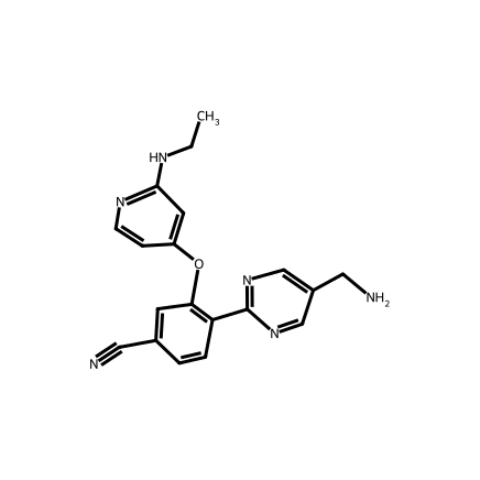 CCNc1cc(Oc2cc(C#N)ccc2-c2ncc(CN)cn2)ccn1